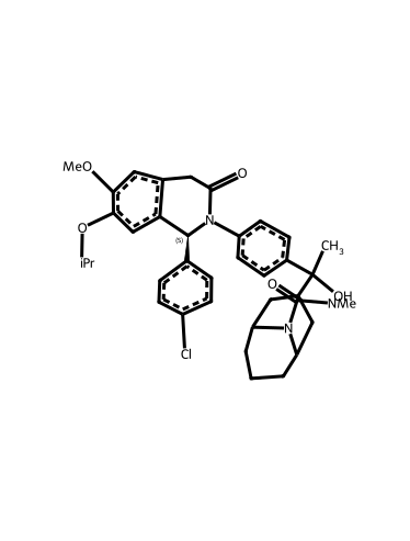 CNC(=O)N1C2CCCC1CC(C(C)(O)c1ccc(N3C(=O)Cc4cc(OC)c(OC(C)C)cc4[C@@H]3c3ccc(Cl)cc3)cc1)C2